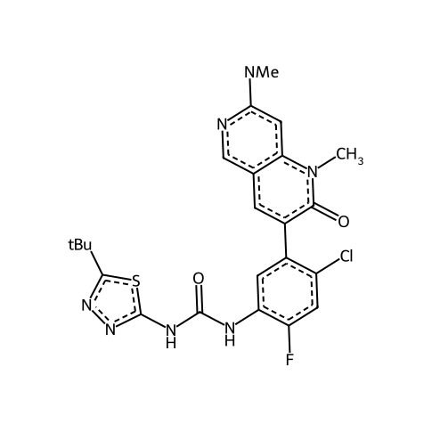 CNc1cc2c(cn1)cc(-c1cc(NC(=O)Nc3nnc(C(C)(C)C)s3)c(F)cc1Cl)c(=O)n2C